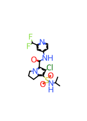 CC(C)NS(=O)(=O)c1c(Cl)c(C(=O)Nc2ccnc(C(F)F)c2)n2c1CCC2